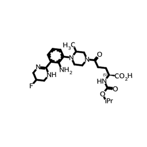 CC(C)OC(=O)N[C@@H](CCC(=O)N1CCN(c2cccc(C3=NCC(F)CN3)c2N)C(C)C1)C(=O)O